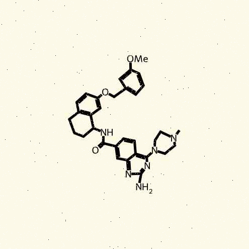 COc1cccc(COc2ccc3c(c2)C(NC(=O)c2ccc4c(N5CCN(C)CC5)nc(N)nc4c2)CCC3)c1